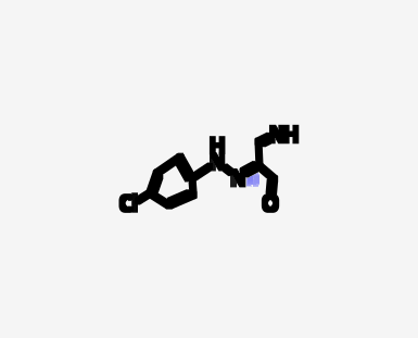 N=C/C(C=O)=N\Nc1ccc(Cl)cc1